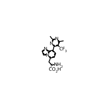 Cc1nc(C)c(C(F)(F)F)c(-c2ccc(C[C@H](N)C(=O)O)n3ccnc23)n1